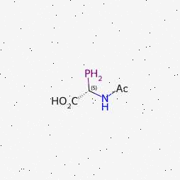 CC(=O)N[C@@H](P)C(=O)O